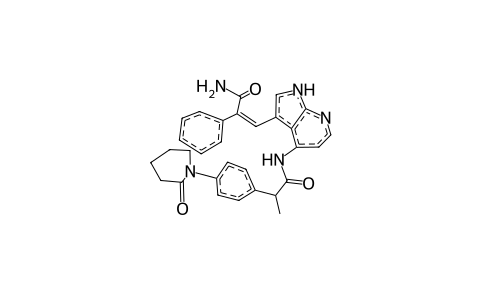 CC(C(=O)Nc1ccnc2[nH]cc(C=C(C(N)=O)c3ccccc3)c12)c1ccc(N2CCCCC2=O)cc1